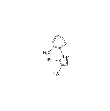 Cc1ccccc1-n1ncc(C)c1C(C)C